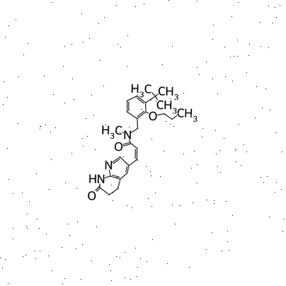 CCCOc1c(CN(C)C(=O)/C=C\c2cnc3c(c2)CCC(=O)N3)cccc1C(C)(C)C